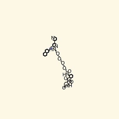 O=C1CCC(N2C(=O)c3cccc(NC(=O)CCOCCOCCOCCOCCNc4ncc(-c5cccnc5)cc4/C=C/c4ccc5ccccc5c4)c3C2=O)C(=O)N1